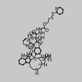 CC[C@@]1(O)CC2C[C@H](CNCCc3c([nH]c4ccccc34)[C@@]2(C(=O)OC)c2cc3c(cc2OC)N(C)[C@H]2[C@@](O)(C(=O)NNC(=O)OCCSSc4ccccn4)[C@H](O)[C@]4(CC)C=CCN5CC[C@]32[C@@H]54)C1